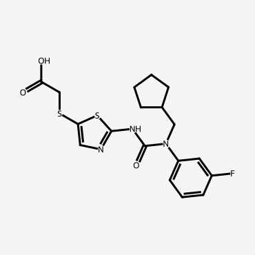 O=C(O)CSc1cnc(NC(=O)N(CC2CCCC2)c2cccc(F)c2)s1